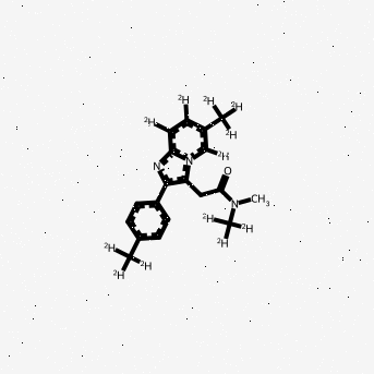 [2H]c1c(C([2H])([2H])[2H])c([2H])n2c(CC(=O)N(C)C([2H])([2H])[2H])c(-c3ccc(C([2H])([2H])[2H])cc3)nc2c1[2H]